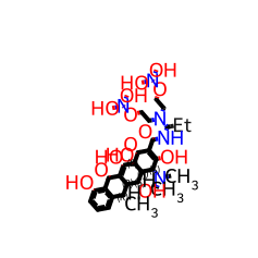 CCC(NC(=O)C1=C(O)[C@@H](N(C)C)[C@@H]2[C@@H](O)[C@H]3C(=C(O)[C@]2(O)C1=O)C(=O)c1c(O)cccc1[C@@H]3C)N(CCON(O)O)CCON(O)O